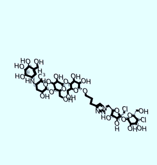 CC1O[C@H](O[C@@H]2C(CO)O[C@H](O[C@@H]3C(CO)O[C@@H](OCCCc4cn(C[C@H]5O[C@@](CCl)(O[C@H]6O[C@H](CO)[C@H](Cl)[C@H](O)[C@H]6O)[C@@H](O)[C@@H]5O)nn4)C(O)C3O)C(O)C2O)C(O)C[C@@H]1N[C@H]1C=C(CO)[C@@H](O)[C@H](O)[C@H]1O